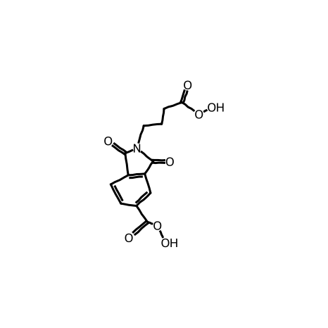 O=C(CCCN1C(=O)c2ccc(C(=O)OO)cc2C1=O)OO